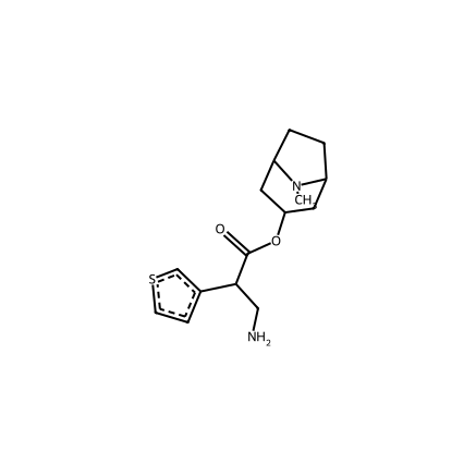 CN1C2CCC1CC(OC(=O)C(CN)c1ccsc1)C2